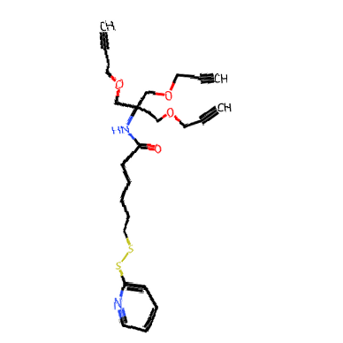 C#CCOCC(COCC#C)(COCC#C)NC(=O)CCCCCSSc1ccccn1